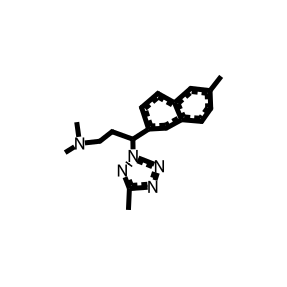 Cc1ccc2cc(C(CCN(C)C)n3nnc(C)n3)ccc2c1